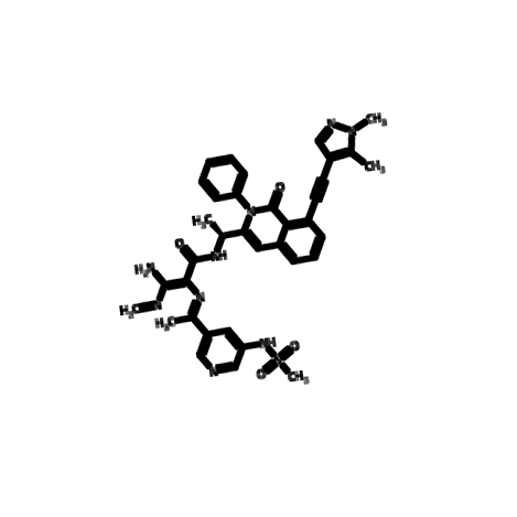 C=N/C(N)=C(\N=C(/C)c1cncc(NS(C)(=O)=O)c1)C(=O)N[C@@H](C)c1cc2cccc(C#Cc3cnn(C)c3C)c2c(=O)n1-c1ccccc1